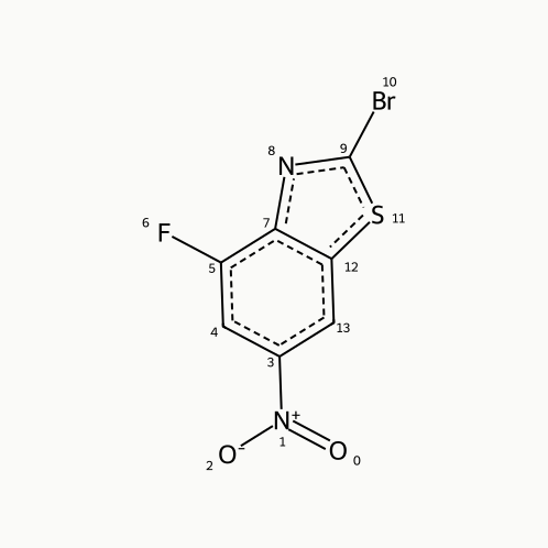 O=[N+]([O-])c1cc(F)c2nc(Br)sc2c1